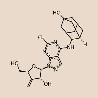 C=C1[C@@H](O)[C@H](n2ncc3c(NC4C5CC6C[C@@H]4CC(O)(C6)C5)nc(Cl)nc32)O[C@@H]1CO